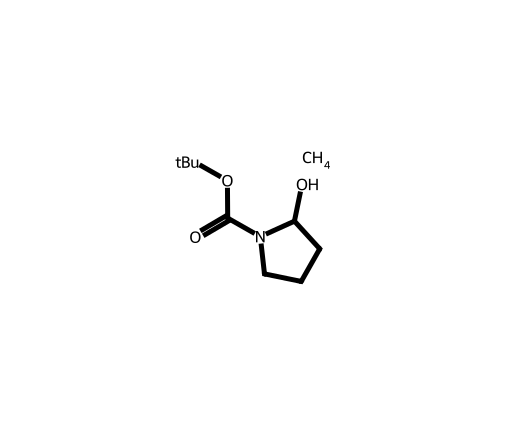 C.CC(C)(C)OC(=O)N1CCCC1O